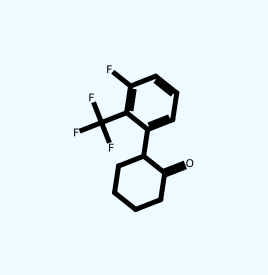 O=C1CCCCC1c1cccc(F)c1C(F)(F)F